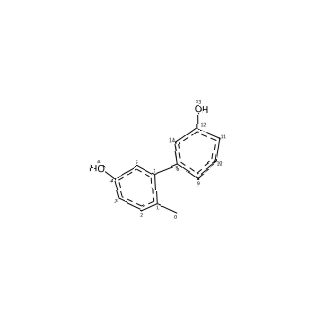 Cc1ccc(O)cc1-c1cccc(O)c1